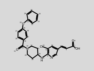 O=C(O)/C=C/c1cnc(NC2CCN(C(=O)c3ccc(Oc4ccccc4)cc3)CC2)c(Cl)c1